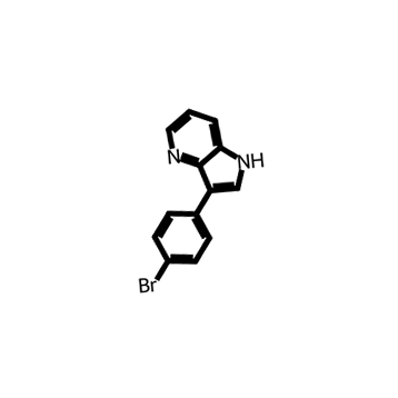 Brc1ccc(-c2c[nH]c3cccnc23)cc1